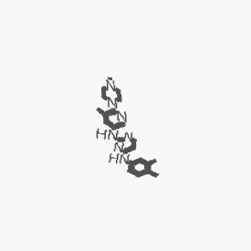 Cc1ccc(Nc2ccnc(Nc3cnc(N4CCN(C)CC4)c(C)c3)n2)cc1C